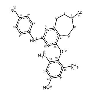 CC(=O)N1CCc2nc(Nc3ccc(C#N)cc3)nc(Oc3c(C)cc(C#N)cc3C)c2CC1